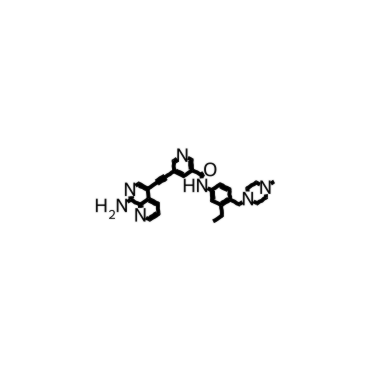 CCc1cc(NC(=O)c2cncc(C#Cc3cnc(N)c4ncccc34)c2)ccc1CN1CCN(C)CC1